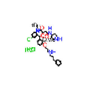 COc1c(OCCCNCCCc2ccccc2)cccc1C1OC(CC(=O)NC2CCNCC2)C(=O)N(CC(C)(C)C)c2ccc(Cl)cc21.Cl.Cl